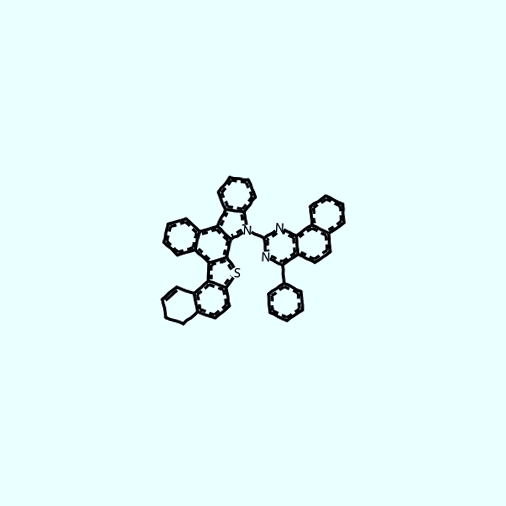 C1=Cc2c(ccc3sc4c(c5ccccc5c5c6ccccc6n(-c6nc(-c7ccccc7)c7ccc8ccccc8c7n6)c45)c23)CC1